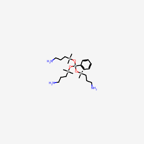 C[Si](C)(CCCN)O[Si](O[Si](C)(C)CCCN)(O[Si](C)(C)CCCN)c1ccccc1